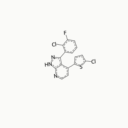 Fc1cccc(-c2n[nH]c3nccc(-c4ccc(Cl)s4)c23)c1Cl